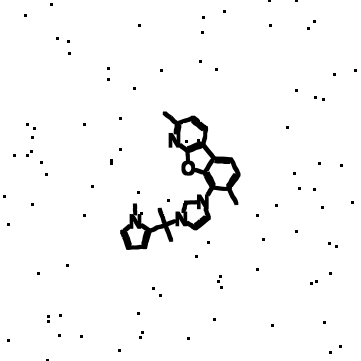 Cc1ccc2c(n1)oc1c(N3C=CN(C(C)(C)c4cccn4C)C3)c(C)ccc12